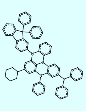 c1ccc(N(c2ccccc2)c2ccc3c(c2)N(c2ccccc2)c2cc(C4CCCCC4)cc4c2B3c2ccccc2N4c2ccc3c(c2)C(c2ccccc2)(c2ccccc2)c2ccccc2-3)cc1